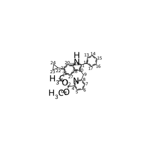 COC(=O)c1cccc(Cc2c(-c3ccccc3)[nH]c3cc(C4CC4)c(C)cc23)n1